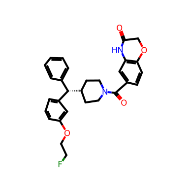 O=C1COc2ccc(C(=O)N3CCC([C@@H](c4ccccc4)c4cccc(OCCF)c4)CC3)cc2N1